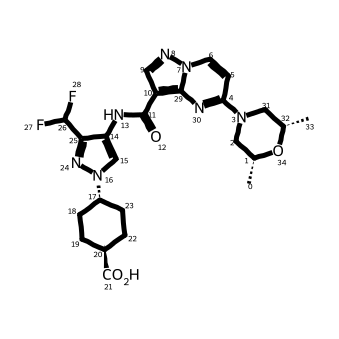 C[C@@H]1CN(c2ccn3ncc(C(=O)Nc4cn([C@H]5CC[C@H](C(=O)O)CC5)nc4C(F)F)c3n2)C[C@H](C)O1